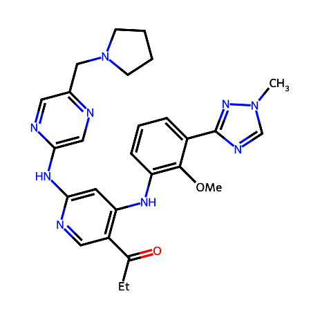 CCC(=O)c1cnc(Nc2cnc(CN3CCCC3)cn2)cc1Nc1cccc(-c2ncn(C)n2)c1OC